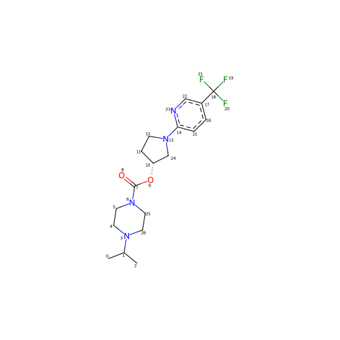 CC(C)N1CCN(C(=O)O[C@@H]2CCN(c3ccc(C(F)(F)F)cn3)C2)CC1